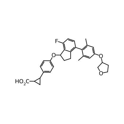 Cc1cc(OC2CCOC2)cc(C)c1-c1ccc(F)c2c1CCC2Oc1ccc(C2CC2C(=O)O)cc1